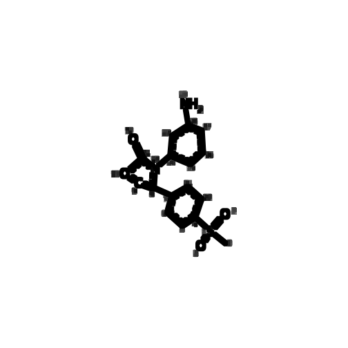 CS(=O)(=O)c1ccc(-c2coc(=O)n2-c2cccc(N)c2)cc1